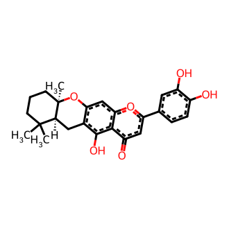 CC1(C)CCC[C@@]2(C)Oc3cc4oc(-c5ccc(O)c(O)c5)cc(=O)c4c(O)c3C[C@@H]12